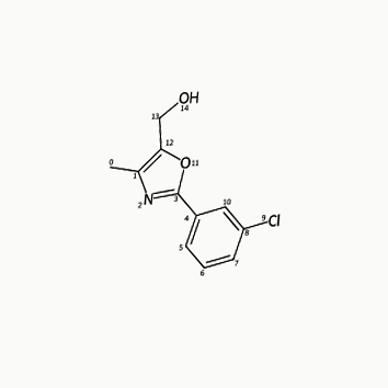 Cc1nc(-c2cccc(Cl)c2)oc1CO